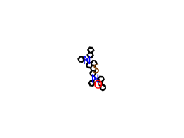 c1ccc(N(c2ccc3ccccc3c2)c2ccc3c4c(cccc24)Sc2cc(N(c4ccccc4)c4cccc5c4oc4ccccc45)ccc2-3)cc1